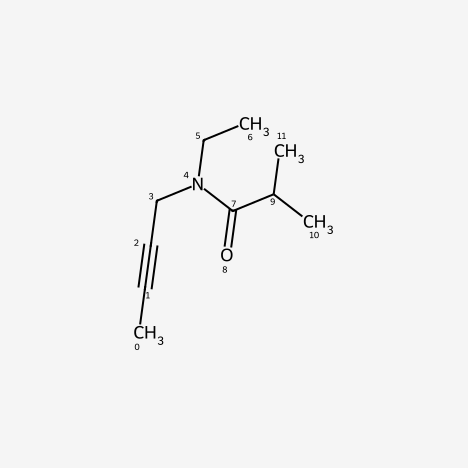 CC#CCN(CC)C(=O)C(C)C